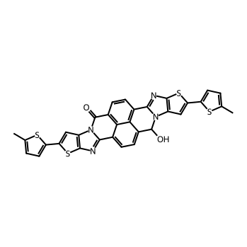 Cc1ccc(-c2cc3c(nc4n3C(O)c3ccc5c6c3c-4ccc6c(=O)n3c4cc(-c6ccc(C)s6)sc4nc53)s2)s1